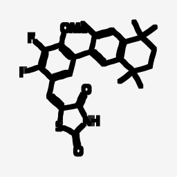 COc1c(-c2cc3c(cc2C)C(C)(C)CCC3(C)C)cc(C=C2SC(=O)NC2=O)c(F)c1F